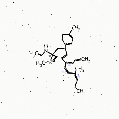 C=C/C=C(C=CC(C[C@@]1(NCC)C=C[C@@H]1C)C1=CC=C(C)CC1)/C=C\C(C)=C/CC